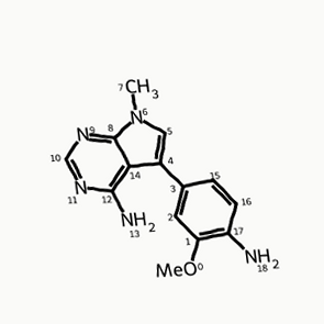 COc1cc(-c2cn(C)c3ncnc(N)c23)ccc1N